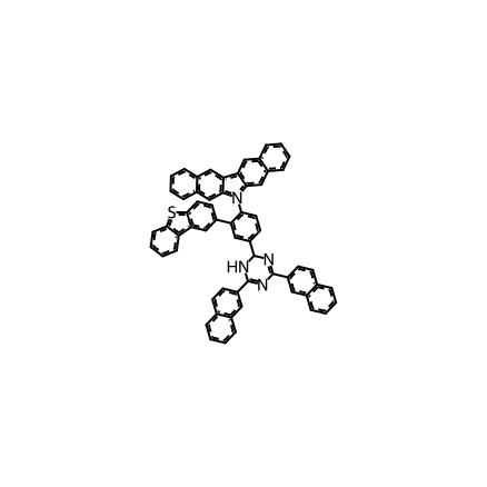 c1ccc2cc(C3=NC(c4ccc(-n5c6cc7ccccc7cc6c6cc7ccccc7cc65)c(-c5ccc6sc7ccccc7c6c5)c4)NC(c4ccc5ccccc5c4)=N3)ccc2c1